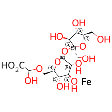 O=C(O)C(O)OC[C@H]1O[C@H](O[C@]2(CO)O[C@H](CO)[C@@H](O)[C@@H]2O)[C@H](O)[C@@H](O)[C@@H]1O.[Fe]